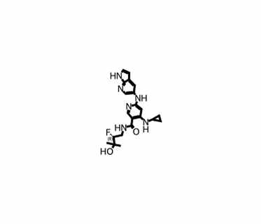 CC(C)(O)[C@H](F)CNC(=O)c1cnc(Nc2cnc3[nH]ccc3c2)cc1NC1CC1